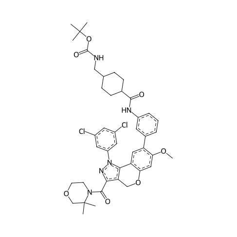 COc1cc2c(cc1-c1cccc(NC(=O)C3CCC(CNC(=O)OC(C)(C)C)CC3)c1)-c1c(c(C(=O)N3CCOCC3(C)C)nn1-c1cc(Cl)cc(Cl)c1)CO2